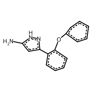 Nc1cc(-c2ccccc2Oc2ccccc2)n[nH]1